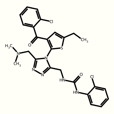 CCc1cc(C(=O)c2ccccc2Cl)c(-n2c(CNC(=O)Nc3ccccc3Cl)nnc2CN(C)C)s1